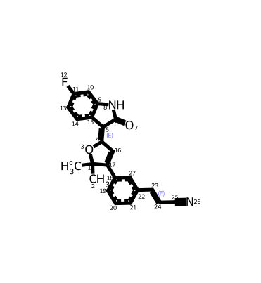 CC1(C)O/C(=C2/C(=O)Nc3cc(F)ccc32)C=C1c1cccc(/C=C/C#N)c1